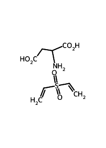 C=CS(=O)(=O)C=C.NC(CC(=O)O)C(=O)O